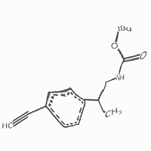 C#Cc1ccc(C(C)CNC(=O)OC(C)(C)C)cc1